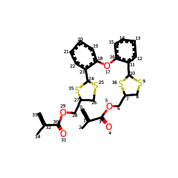 C=C(C)C(=O)OCC1CSC(c2ccccc2Oc2ccccc2C2SCC(COC(=O)C(=C)C)S2)S1